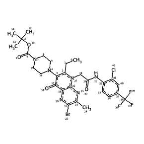 CCc1c(N2CCN(C(=O)OC(C)(C)C)CC2)c(=O)c2nc(Br)c(C)nc2n1CC(=O)Nc1ccc(C(F)(F)F)cc1Cl